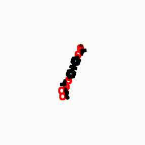 COC(C)COc1ccc(C(C)(C)c2ccc(OCC(C)OC(=O)CC(C)=O)cc2)cc1